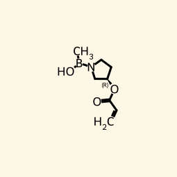 C=CC(=O)O[C@@H]1CCN(B(C)O)C1